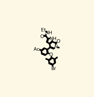 CCNC(=O)c1cc2c(-c3cc(C(C)=O)ccc3Oc3c(C)cc(Br)cc3C)cn(C)c(=O)c2[nH]1